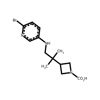 CC(C)(CNc1ccc(Br)nc1)C1CN(C(=O)O)C1